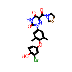 Cc1cc(-n2nc(C(=O)N3CCSC3)c(=O)[nH]c2=O)cc(C)c1Oc1ccc(O)c(Br)c1